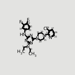 CCN(CC)c1nc(Nc2ccc(F)c(F)c2)nc(N2CCN(c3ncccc3Cl)CC2)n1